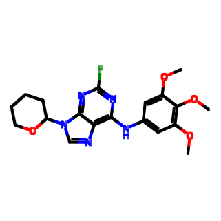 COc1cc(Nc2nc(F)nc3c2ncn3C2CCCCO2)cc(OC)c1OC